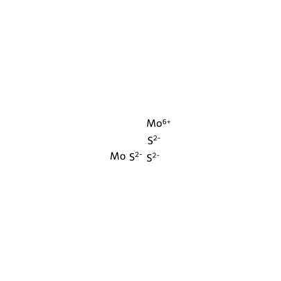 [Mo+6].[Mo].[S-2].[S-2].[S-2]